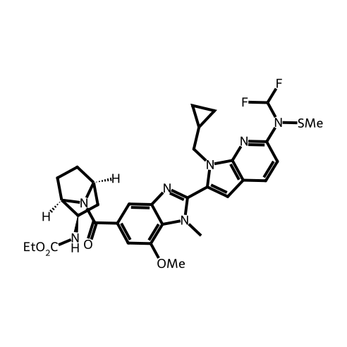 CCOC(=O)N[C@@H]1C[C@@H]2CC[C@H]1N2C(=O)c1cc(OC)c2c(c1)nc(-c1cc3ccc(N(SC)C(F)F)nc3n1CC1CC1)n2C